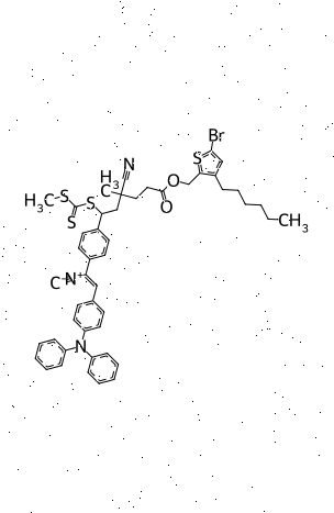 [C-]#[N+]/C(=C\c1ccc(N(c2ccccc2)c2ccccc2)cc1)c1ccc(C(CC(C)(C#N)CCC(=O)OCc2sc(Br)cc2CCCCCC)SC(=S)SC)cc1